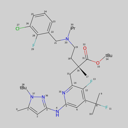 Cc1cc(Nc2cc(C(C)(C)F)c(F)c(C[C@](C)(CCN(Cc3cccc(Cl)c3F)C(C)C)C(=O)OC(C)(C)C)n2)nn1C(C)(C)C